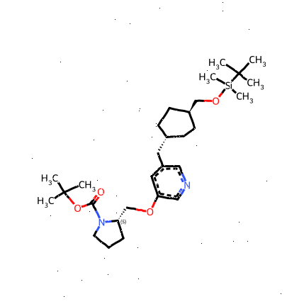 CC(C)(C)OC(=O)N1CCC[C@H]1COc1cncc(C[C@H]2CC[C@H](CO[Si](C)(C)C(C)(C)C)CC2)c1